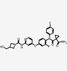 NC(=O)C1(C(=O)N(c2ccc(F)cc2)c2ccc(Oc3ccnc(NC(=O)N4CC(CO)C4)c3)cc2F)CC1